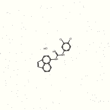 Cl.N=C(Nc1ccc(Cl)c(Cl)c1)Nc1ccc2c3c(cccc13)C=C2